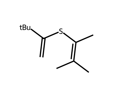 C=C(SC(C)=C(C)C)C(C)(C)C